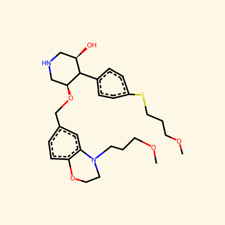 COCCCSc1ccc(C2[C@H](O)CNC[C@@H]2OCc2ccc3c(c2)N(CCCOC)CCO3)cc1